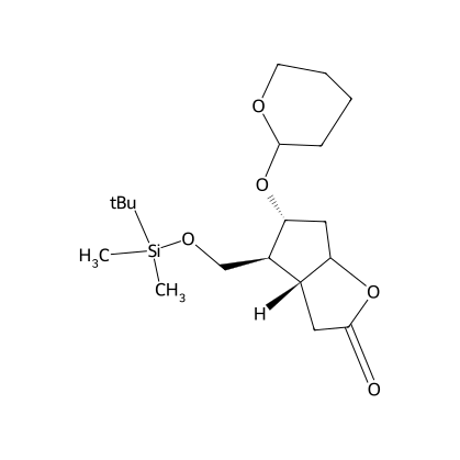 CC(C)(C)[Si](C)(C)OC[C@H]1[C@H](OC2CCCCO2)CC2OC(=O)C[C@@H]21